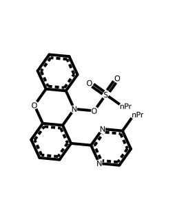 CCCc1ccnc(-c2cccc3c2N(OS(=O)(=O)CCC)c2ccccc2O3)n1